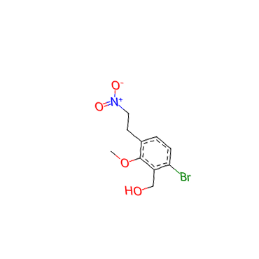 COc1c(CC[N+](=O)[O-])ccc(Br)c1CO